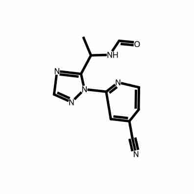 CC(NC=O)c1ncnn1-c1cc(C#N)ccn1